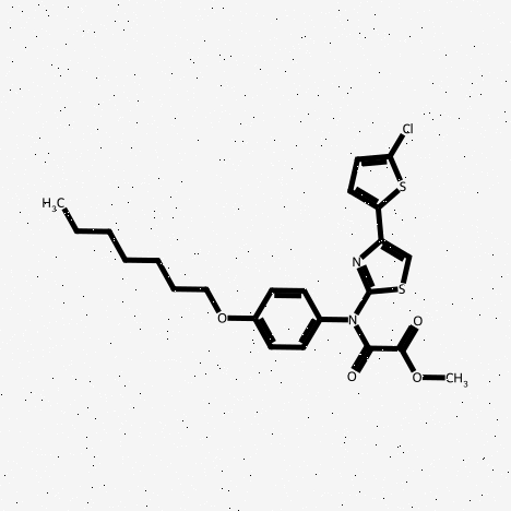 CCCCCCCOc1ccc(N(C(=O)C(=O)OC)c2nc(-c3ccc(Cl)s3)cs2)cc1